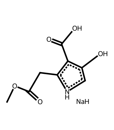 COC(=O)Cc1[nH]cc(O)c1C(=O)O.[NaH]